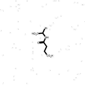 CC(C)C(NC(=O)CCC(=O)O)C(=O)O